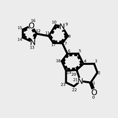 O=C1CCc2cc(-c3cncc(-c4ncco4)c3)cc3c2N1CC3